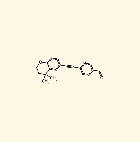 CC1(C)CCOc2ccc(C#Cc3ccc(C=O)cn3)cc21